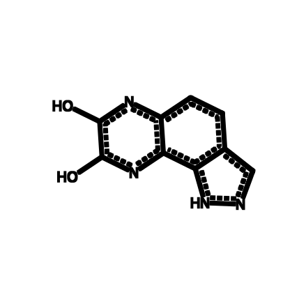 Oc1nc2ccc3cn[nH]c3c2nc1O